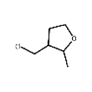 CC1OCCC1CCl